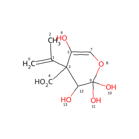 C=C(C)C1(C(=O)O)C(O)=COC(O)(O)C1O